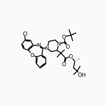 C[C@H](CC(C)(C)O)OC(=O)C(C)(C)C1CN(C2=Nc3cc(Cl)ccc3Oc3ccccc32)CCN1C(=O)OC(C)(C)C